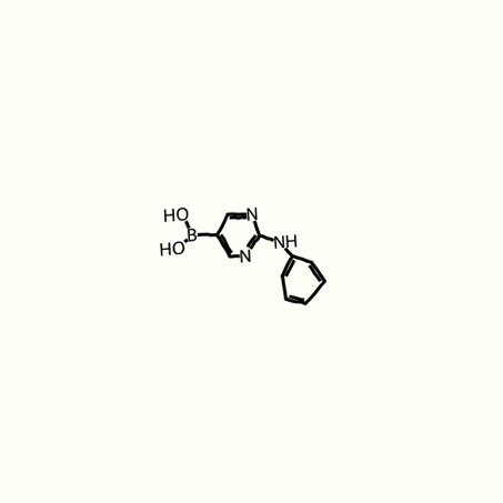 OB(O)c1cnc(Nc2ccccc2)nc1